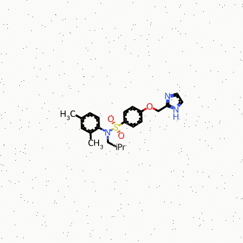 Cc1ccc(N(CC(C)C)S(=O)(=O)c2ccc(OCc3ncc[nH]3)cc2)c(C)c1